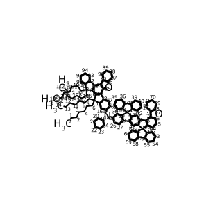 CCCCCCCC1(CCCCCCC)c2cc(N(c3ccccc3)c3ccc4c(c3)C3(c5ccccc5-c5ccccc53)c3cc5c(cc3-4)C3(c4ccccc4-c4ccccc43)c3ccc4oc6ccccc6c4c3-5)ccc2-c2c1c1c(c3c2oc2ccccc23)-c2ccccc2C1(CCCCCCC)CCCCCCC